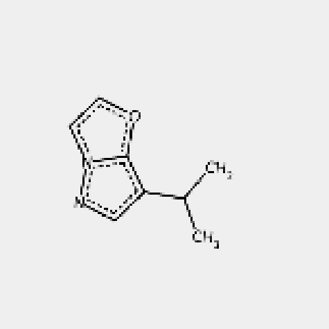 CC(C)c1cnn2ccoc12